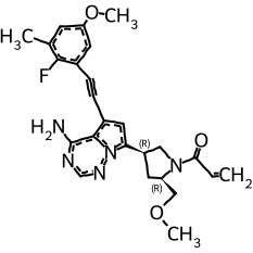 C=CC(=O)N1C[C@H](c2cc(C#Cc3cc(OC)cc(C)c3F)c3c(N)ncnn23)C[C@@H]1COC